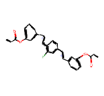 C=CC(=O)Oc1cccc(/C=C/c2ccc(/C=C/c3cccc(OC(=O)C=C)c3)c(F)c2)c1